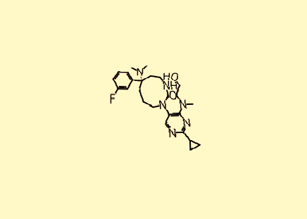 CN(CCO)c1nc(C2CC2)ncc1N1CCC[C@](c2cccc(F)c2)(N(C)C)CCNC1=O